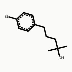 CCc1ccc(CCCC(C)(C)O)cc1